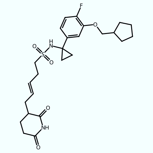 O=C1CCC(C/C=C/CCS(=O)(=O)NC2(c3ccc(F)c(OCC4CCCC4)c3)CC2)C(=O)N1